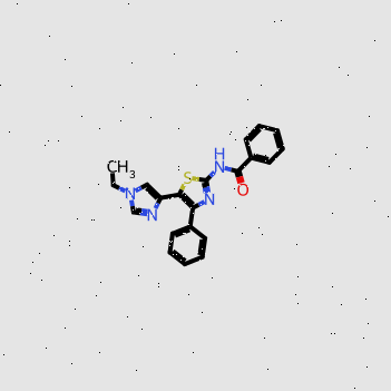 CCn1cnc(-c2sc(NC(=O)c3ccccc3)nc2-c2ccccc2)c1